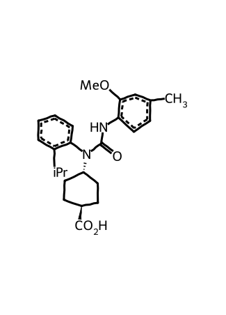 COc1cc(C)ccc1NC(=O)N(c1ccccc1C(C)C)[C@H]1CC[C@H](C(=O)O)CC1